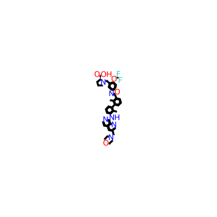 Cc1c(Nc2nccc3cc(CN4CCOCC4)cnc23)cccc1-c1cccc(-c2nc3cc(CN4CCC[C@H]4C(=O)O)c(OC(F)F)cc3o2)c1C